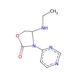 CCNC1COC(=O)N1c1ccncn1